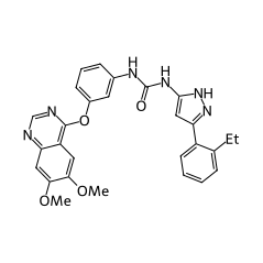 CCc1ccccc1-c1cc(NC(=O)Nc2cccc(Oc3ncnc4cc(OC)c(OC)cc34)c2)[nH]n1